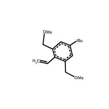 C=Cc1c(COC)cc(C(C)(C)C)cc1COC